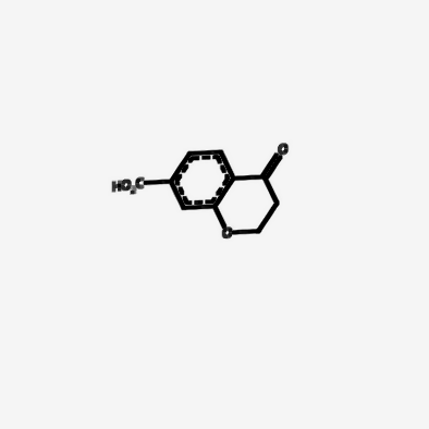 O=C(O)c1ccc2c(c1)OCCC2=O